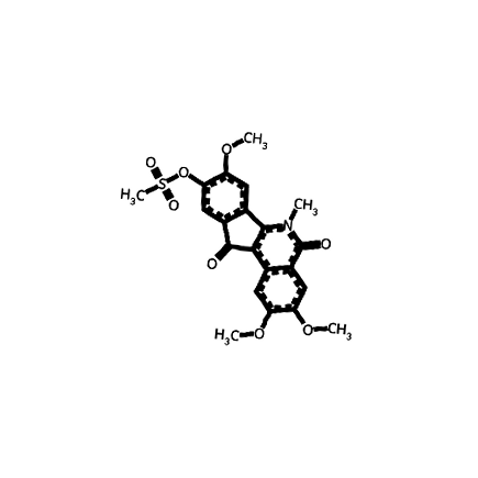 COc1cc2c3c(n(C)c(=O)c2cc1OC)-c1cc(OC)c(OS(C)(=O)=O)cc1C3=O